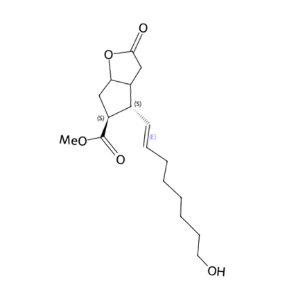 COC(=O)[C@H]1CC2OC(=O)CC2[C@@H]1/C=C/CCCCCCO